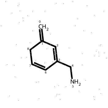 C=C1C=C(CN)C=CC1